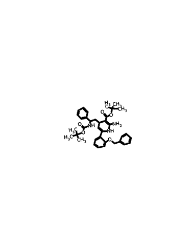 CC(C)(C)OC(=O)NC(CC1C=C(c2ccccc2OCc2ccccc2)NC(N)=C1C(=O)OC(C)(C)C)c1ccccc1